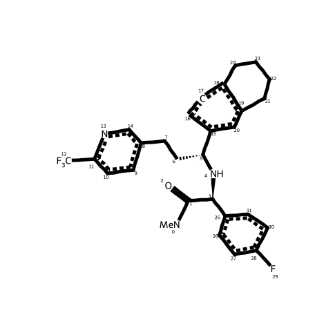 CNC(=O)[C@@H](N[C@H](CCc1ccc(C(F)(F)F)nc1)c1ccc2c(c1)CCCC2)c1ccc(F)cc1